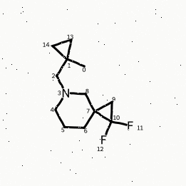 CC1(CN2CCCC3(C2)CC3(F)F)CC1